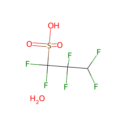 O.O=S(=O)(O)C(F)(F)C(F)(F)C(F)F